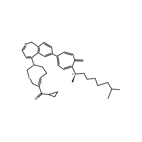 C=C1C=CC(c2ccc3c(c2)C(N2CC/C=C(\C(=O)C4CC4)CCC2)=CC=NC3)=CC=C1[C@H](C)CCCCCC(C)C